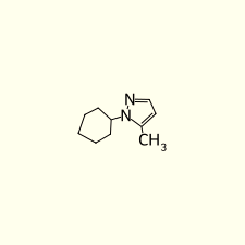 Cc1ccnn1C1CCCCC1